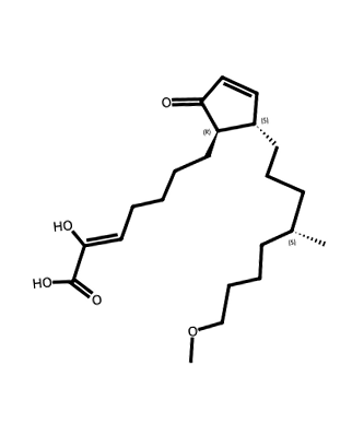 COCCCC[C@@H](C)CCC[C@H]1C=CC(=O)[C@@H]1CCCCC=C(O)C(=O)O